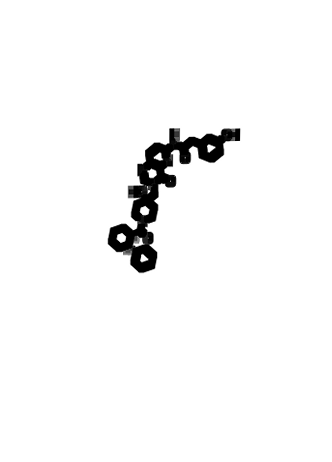 O=C(Cc1cccc(O)c1)Nc1ccc2ncn(CC3(O)CCN(C(=O)[C@@H]4CCCC[C@H]4c4ccccc4)CC3)c(=O)c2n1